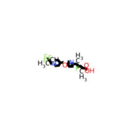 C/C(=C(F)\C=C(/C)C(=O)O)c1ccc(OCC2CCN(CC(C)(C)C(F)(F)F)CC2)cn1